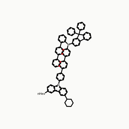 CCCCCCc1ccc2c(c1)c1cc(C3CCCCC3)ccc1n2-c1ccc(-c2ccc(-c3ccc(N(c4ccc5c(c4)C(c4ccccc4)(c4ccccc4)c4ccccc4-5)c4ccccc4-c4ccc(-c5ccccc5)cc4)cc3)cc2)cc1